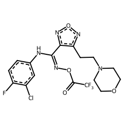 O=C(ON=C(Nc1ccc(F)c(Cl)c1)c1nonc1CCN1CCOCC1)C(F)(F)F